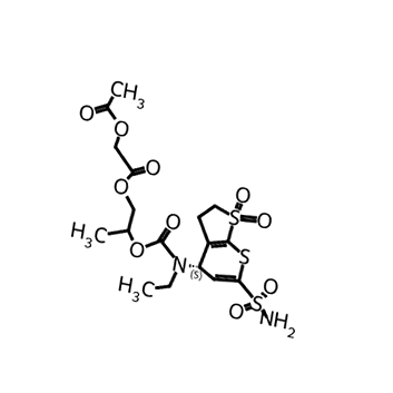 CCN(C(=O)OC(C)COC(=O)COC(C)=O)[C@H]1C=C(S(N)(=O)=O)SC2=C1CCS2(=O)=O